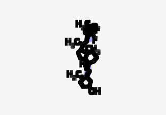 C=C1CCC(O)C/C1=C/C=C1\CCCC2(C)C(C(C)/C=C/C(F)(F)S(C)(=O)=O)CC[C@@H]12